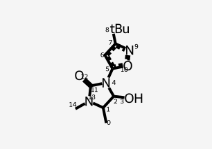 CC1C(O)N(c2cc(C(C)(C)C)no2)C(=O)N1C